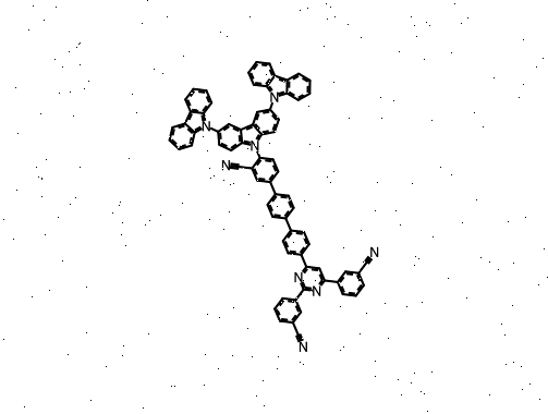 N#Cc1cccc(-c2cc(-c3ccc(-c4ccc(-c5ccc(-n6c7ccc(-n8c9ccccc9c9ccccc98)cc7c7cc(-n8c9ccccc9c9ccccc98)ccc76)c(C#N)c5)cc4)cc3)nc(-c3cccc(C#N)c3)n2)c1